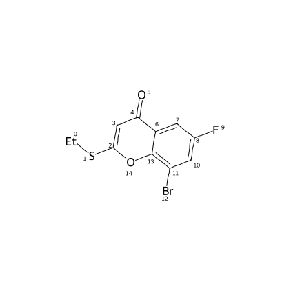 CCSc1cc(=O)c2cc(F)cc(Br)c2o1